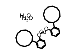 O.O.c1ccc(C2CCCCCCCCCC2)c([O][Co][O]c2ccccc2C2CCCCCCCCCC2)c1